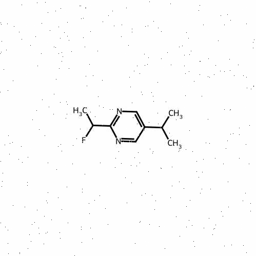 CC(C)c1cnc(C(C)F)nc1